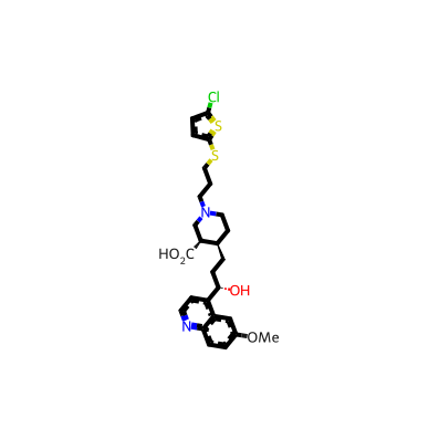 COc1ccc2nccc([C@@H](O)CC[C@@H]3CCN(CCCSc4ccc(Cl)s4)C[C@@H]3C(=O)O)c2c1